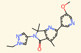 CCn1cc(N2C(=O)c3c(C)cc(-c4cncc(OC)c4)nc3C2(C)C)cn1